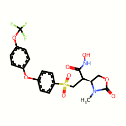 CN1C(=O)OC[C@@H]1C(CS(=O)(=O)c1ccc(Oc2ccc(OC(F)(F)F)cc2)cc1)C(=O)NO